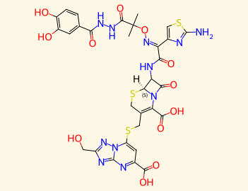 CC(C)(ON=C(C(=O)NC1C(=O)N2C(C(=O)O)=C(CSc3cc(C(=O)O)nc4nc(CO)nn34)CS[C@@H]12)c1csc(N)n1)C(=O)NNC(=O)c1ccc(O)c(O)c1